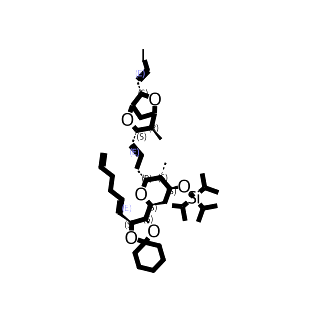 C=CCC/C=C/[C@@H]1OC2(CCCCC2)O[C@H]1[C@@H]1C[C@H](O[Si](C(C)C)(C(C)C)C(C)C)[C@@H](C)[C@@H](C/C=C/[C@@H]2OC3CC(O[C@H]3/C=C/I)[C@H]2C)O1